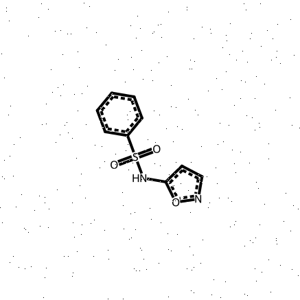 O=S(=O)(Nc1ccno1)c1ccccc1